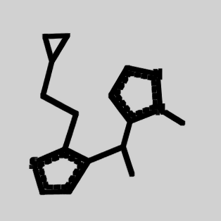 CC(c1ccsc1CCC1CC1)c1ccnn1C